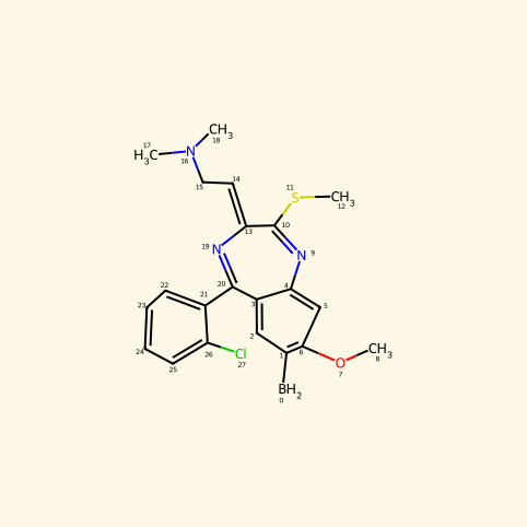 Bc1cc2c(cc1OC)N=C(SC)/C(=C/CN(C)C)N=C2c1ccccc1Cl